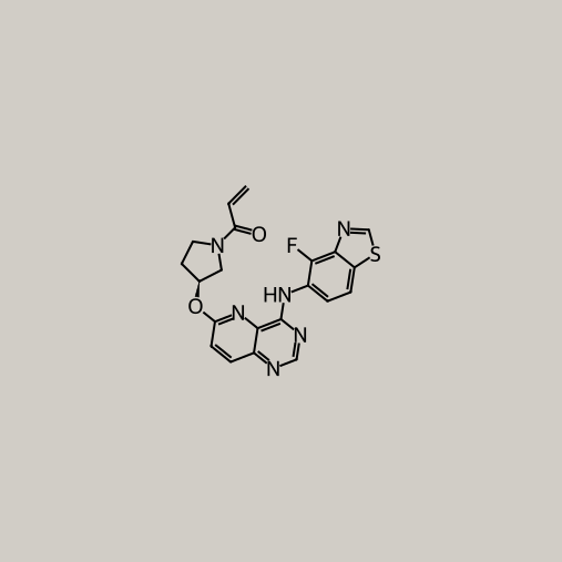 C=CC(=O)N1CC[C@H](Oc2ccc3ncnc(Nc4ccc5scnc5c4F)c3n2)C1